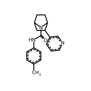 Cc1ccc(NC(=O)N2C3CCC2C(c2cccnc2)C3)cc1